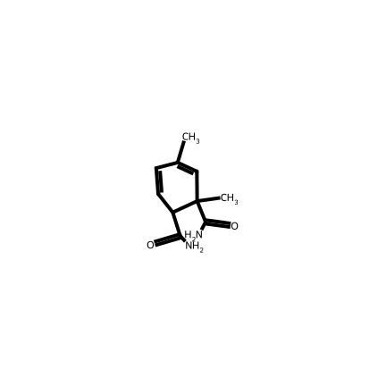 CC1=CC(C)(C(N)=O)C(C(N)=O)C=C1